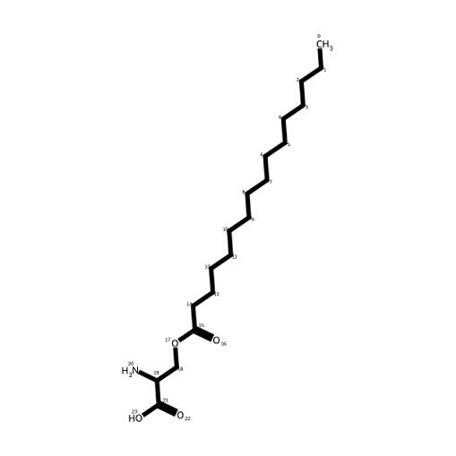 CCCCCCCCCCCCCCCC(=O)OCC(N)C(=O)O